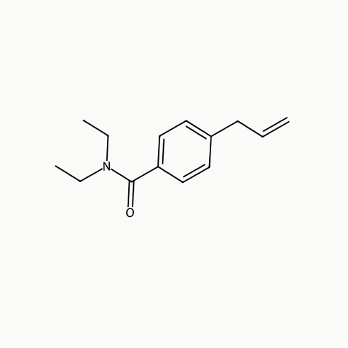 C=CCc1ccc(C(=O)N(CC)CC)cc1